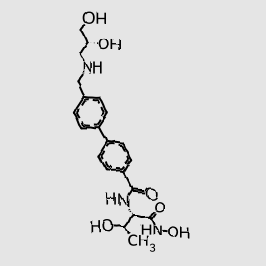 C[C@@H](O)[C@H](NC(=O)c1ccc(-c2ccc(CNC[C@@H](O)CO)cc2)cc1)C(=O)NO